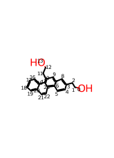 OCCc1ccc2c(c1)cc(CCO)c1c3ccccc3ccc21